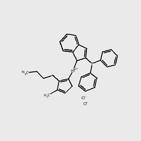 CCCCC1=[C]([Hf+2][CH]2C(P(c3ccccc3)c3ccccc3)=Cc3ccccc32)CC=C1C.[Cl-].[Cl-]